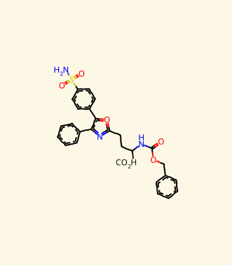 NS(=O)(=O)c1ccc(-c2oc(CCC(NC(=O)OCc3ccccc3)C(=O)O)nc2-c2ccccc2)cc1